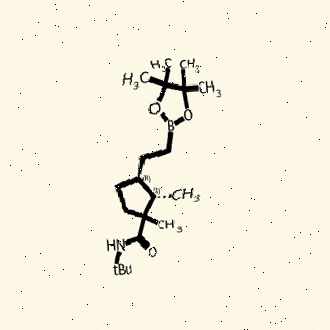 C[C@H]1[C@H](CCB2OC(C)(C)C(C)(C)O2)CCC1(C)C(=O)NC(C)(C)C